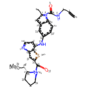 C#CCNC(=O)n1c(C)cc2cc(Nc3ccnc4cc(C(=O)N5CCC[C@@H]5COC)sc34)ccc21